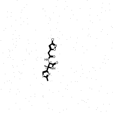 Cc1nc([C@@]2(C)NC(=O)[C@H]2NC(=O)Cc2cc(Cl)no2)cs1